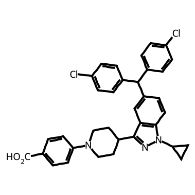 O=C(O)c1ccc(N2CCC(c3nn(C4CC4)c4ccc(C(c5ccc(Cl)cc5)c5ccc(Cl)cc5)cc34)CC2)cc1